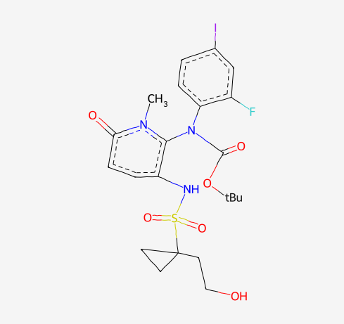 Cn1c(N(C(=O)OC(C)(C)C)c2ccc(I)cc2F)c(NS(=O)(=O)C2(CCO)CC2)ccc1=O